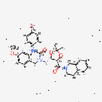 CC(C)(C)Oc1ccc(CN(C[C@@H]2OC(C)(C)O[C@H]2C(=O)N2CCc3ccccc3C2)C(=O)Nc2ccc(Br)cc2)cc1